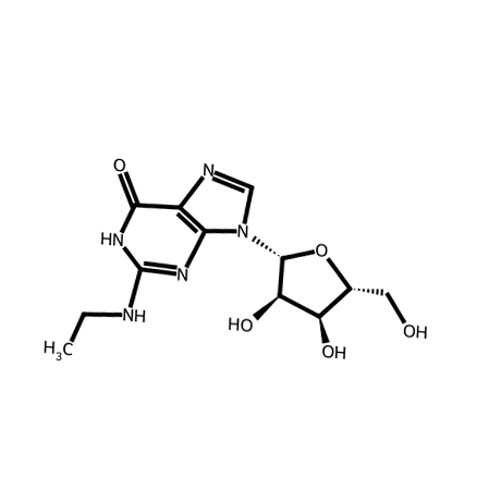 CCNc1nc2c(ncn2[C@@H]2O[C@H](CO)[C@@H](O)[C@H]2O)c(=O)[nH]1